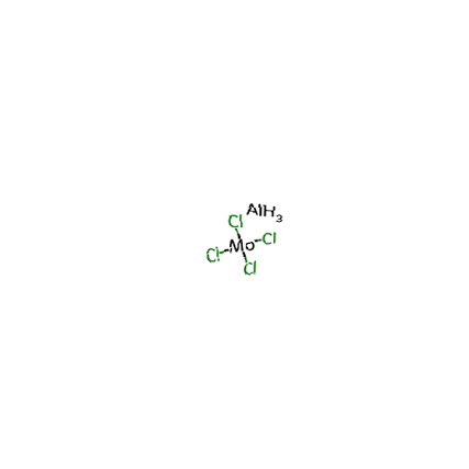 [AlH3].[Cl][Mo]([Cl])([Cl])[Cl]